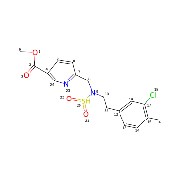 COC(=O)c1ccc(CN(CCc2ccc(C)c(Cl)c2)[SH](=O)=O)nc1